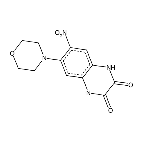 O=C1[N]c2cc(N3CCOCC3)c([N+](=O)[O-])cc2NC1=O